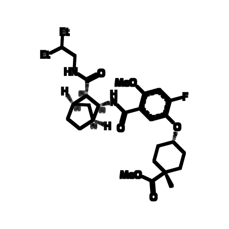 CCC(CC)CNC(=O)[C@H]1[C@@H]2CC[C@@H](C2)[C@H]1NC(=O)c1cc(O[C@H]2CC[C@@](C)(C(=O)OC)CC2)c(F)cc1OC